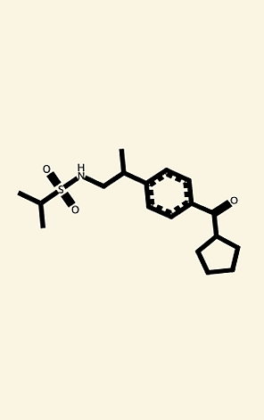 CC(CNS(=O)(=O)C(C)C)c1ccc(C(=O)C2CCCC2)cc1